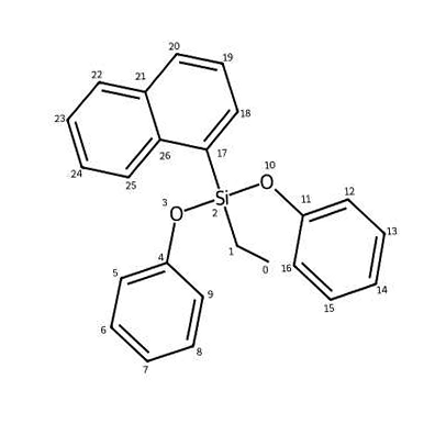 CC[Si](Oc1ccccc1)(Oc1ccccc1)c1cccc2ccccc12